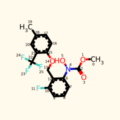 COC(=O)N(O)c1cccc(F)c1COc1ccc(C)cc1C(F)(F)F